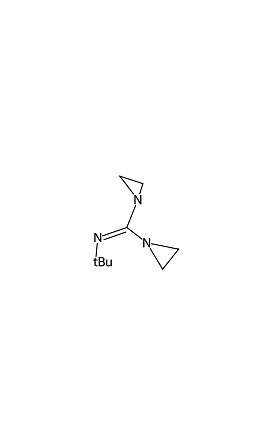 CC(C)(C)N=C(N1CC1)N1CC1